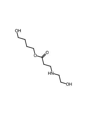 O=C(CCNCCO)OCCCCO